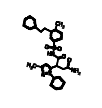 Cc1cc(C(CC(N)=O)C(=O)NS(=O)(=O)c2ccc(C)c(CCc3ccccc3)c2)n(-c2ccccc2)n1